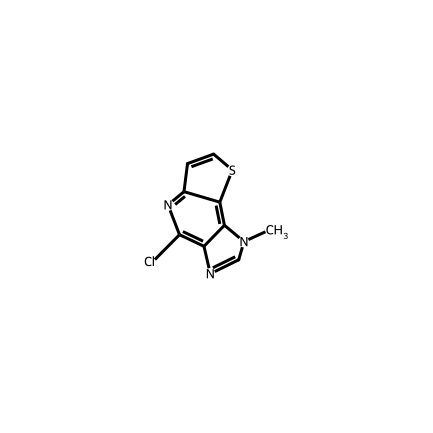 Cn1cnc2c(Cl)nc3ccsc3c21